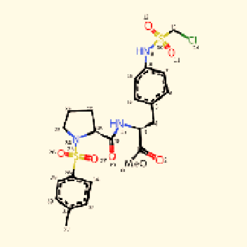 COC(=O)[C@H](Cc1ccc(NS(=O)(=O)CCl)cc1)NC(=O)[C@@H]1CCCN1S(=O)(=O)c1ccc(C)cc1